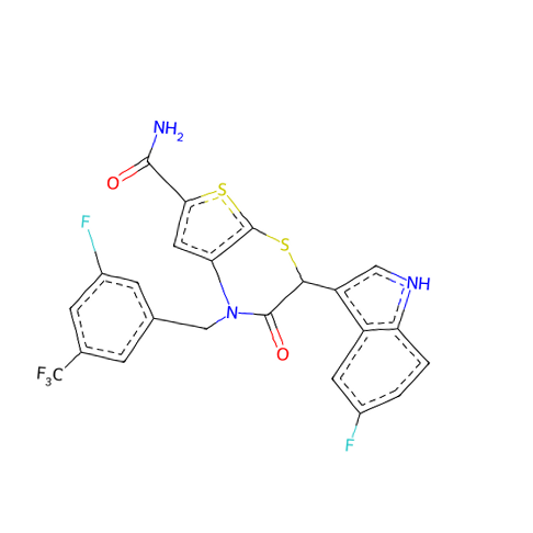 NC(=O)c1cc2c(s1)SC(c1c[nH]c3ccc(F)cc13)C(=O)N2Cc1cc(F)cc(C(F)(F)F)c1